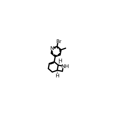 Cc1cc(C2=CCC[C@@H]3CN[C@H]23)cnc1Br